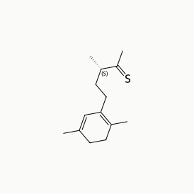 CC(=S)[C@@H](C)CCC1=C(C)CCC(C)=C1